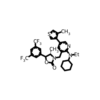 CCN(c1ncc(-c2cscc2C)cc1CN1C(=O)OC(c2cc(C(F)(F)F)cc(C(F)(F)F)c2)[C@@H]1C)C1CCCCC1